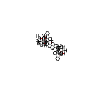 [2H]c1c([2H])c([2H])c(N(c2c(F)ccc(-c3ccccc3C#N)c2-c2ccccc2C#N)c2ccc3ccc4c(N(c5c([2H])c([2H])c([2H])c([2H])c5[2H])c5c(F)ccc(-c6ccccc6ON)c5-c5ccccc5ON)ccc5ccc2c3c54)c([2H])c1[2H]